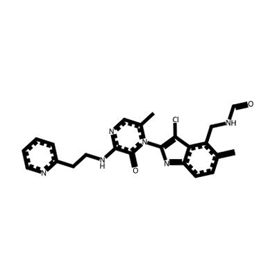 C=c1ccc2c(c1CNC=O)C(Cl)=C(n1c(C)cnc(NCCc3ccccn3)c1=O)N=2